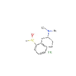 CCN(CC)C1CCc2cccc([S+](C)[O-])c2C1.Cl